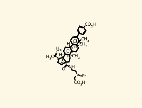 C=C(C)[C@@H]1CC[C@]2(C(=O)NCCN(CCC)CC(=O)O)CC[C@]3(C)[C@H](CC[C@@H]4[C@@]5(C)CC=C(c6ccc(C(=O)O)cc6)C(C)(C)[C@@H]5CC[C@]43C)[C@@H]12